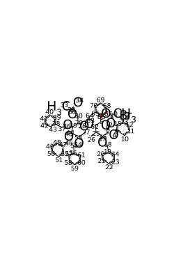 CC(=O)OC[C@H]1O[C@H](Oc2cccc(Br)c2)[C@@H](OCc2ccccc2)[C@@H](C[C@H]2O[C@H](COC(C)=O)[C@@H](OCc3ccccc3)[C@@H](OCc3ccccc3)[C@@H]2OCc2ccccc2)[C@@H]1OCc1ccccc1